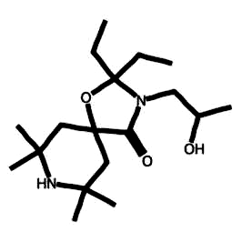 CCC1(CC)OC2(CC(C)(C)NC(C)(C)C2)C(=O)N1CC(C)O